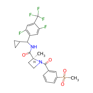 C[C@@]1(C(=O)NC(c2cc(F)c(C(F)(F)F)cc2F)C2CC2)CCN1C(=O)c1cccc(S(C)(=O)=O)c1